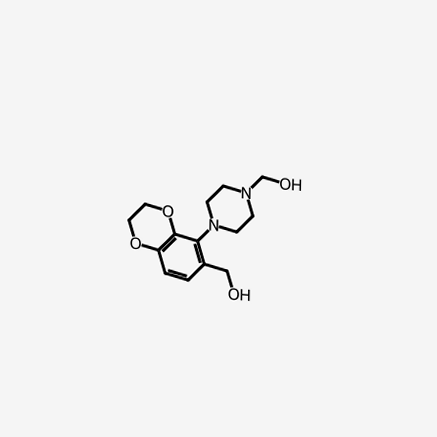 OCc1ccc2c(c1N1CCN(CO)CC1)OCCO2